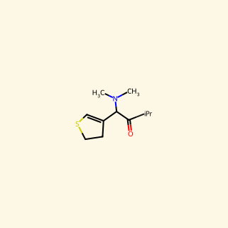 CC(C)C(=O)C(C1=CSCC1)N(C)C